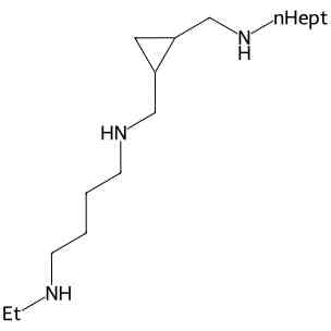 CCCCCCCNCC1CC1CNCCCCNCC